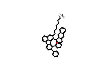 CCCCCCCCc1cc2cccc3c2c(c1-c1cccc2cc4ccccc4cc12)-c1c-3ccc(-c2ccccc2)c1-c1ccccc1